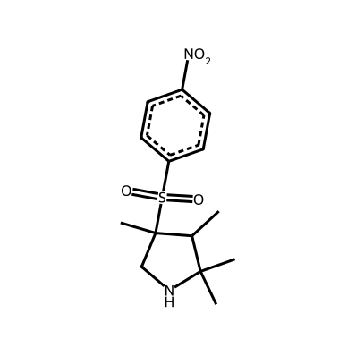 CC1C(C)(C)NCC1(C)S(=O)(=O)c1ccc([N+](=O)[O-])cc1